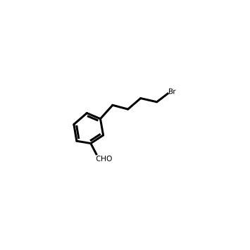 O=Cc1cccc(CCCCBr)c1